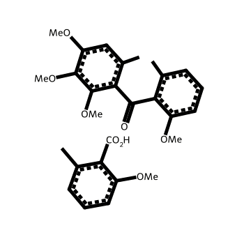 COc1cc(C)c(C(=O)c2c(C)cccc2OC)c(OC)c1OC.COc1cccc(C)c1C(=O)O